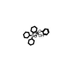 [OH][Ti]([OH])([O]c1ccccc1)[O][Si](C1CCCCC1)(C1CCCCC1)C1CCCCC1